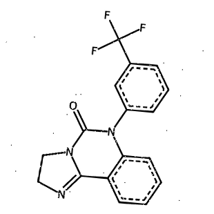 O=C1N2CCN=C2c2ccccc2N1c1cccc(C(F)(F)F)c1